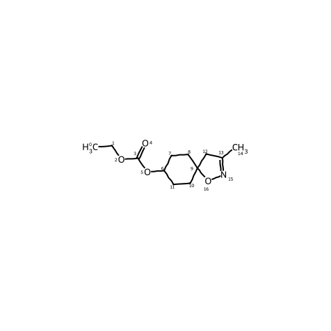 CCOC(=O)OC1CCC2(CC1)CC(C)=NO2